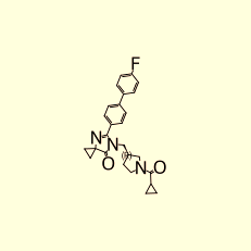 O=C(C1CC1)N1CC[C@@H](CN2C(=O)C3(CC3)N=C2c2ccc(-c3ccc(F)cc3)cc2)C1